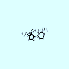 CC1=NC=CC(c2scc(C)c2C)N1